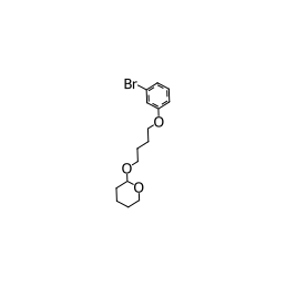 Brc1cccc(OCCCCOC2CCCCO2)c1